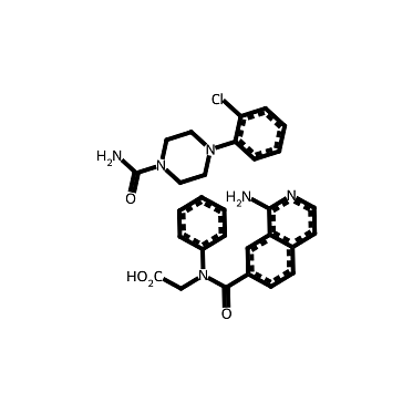 NC(=O)N1CCN(c2ccccc2Cl)CC1.Nc1nccc2ccc(C(=O)N(CC(=O)O)c3ccccc3)cc12